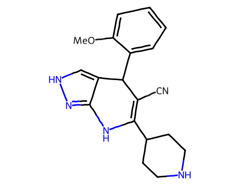 COc1ccccc1C1C(C#N)=C(C2CCNCC2)Nc2n[nH]cc21